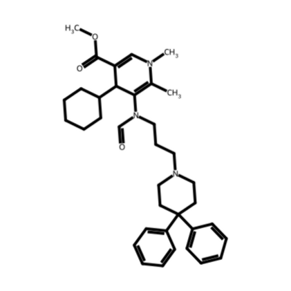 COC(=O)C1=CN(C)C(C)=C(N(C=O)CCCN2CCC(c3ccccc3)(c3ccccc3)CC2)C1C1CCCCC1